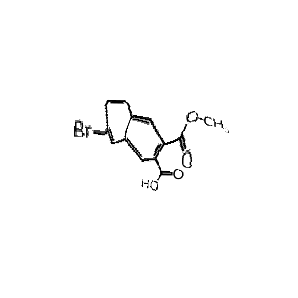 COC(=O)c1cc2ccc(Br)cc2cc1C(=O)O